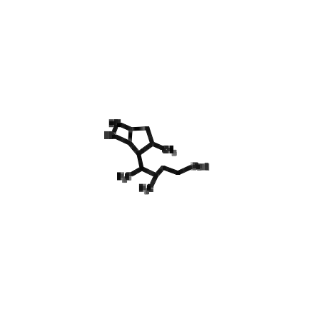 CCCC(C)CCC(C)C(C)C1C(C)CC2NNC21